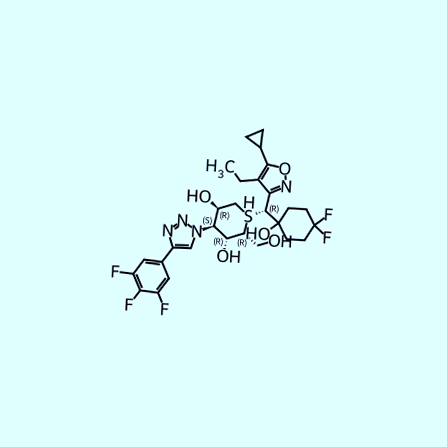 CCc1c([C@@H]([SH]2C[C@H](O)[C@H](n3cc(-c4cc(F)c(F)c(F)c4)nn3)[C@@H](O)[C@H]2CO)C2(O)CCC(F)(F)CC2)noc1C1CC1